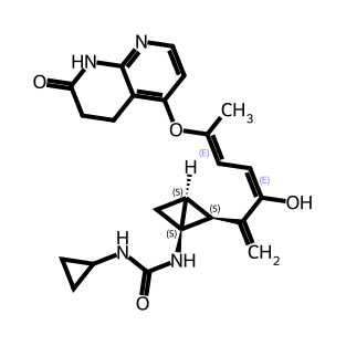 C=C(/C(O)=C\C=C(/C)Oc1ccnc2c1CCC(=O)N2)[C@@H]1[C@@H]2C[C@@]12NC(=O)NC1CC1